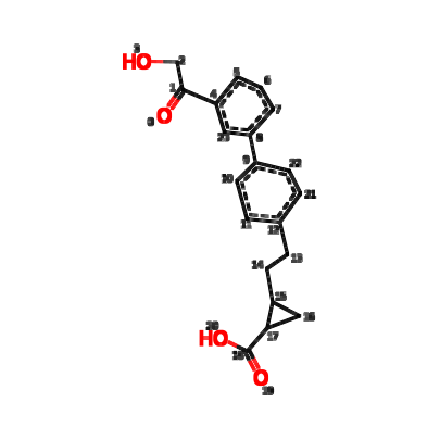 O=C(CO)c1cccc(-c2ccc(CCC3CC3C(=O)O)cc2)c1